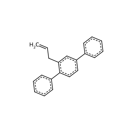 C=CCc1cc(-c2ccccc2)ccc1-c1ccccc1